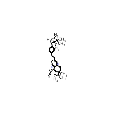 C/C=C1/C(OC#N)=CC(C)(C(C)C)C=C/C1=C/CCCc1ccc(CC(C)(C)C(C)(C)C)cc1